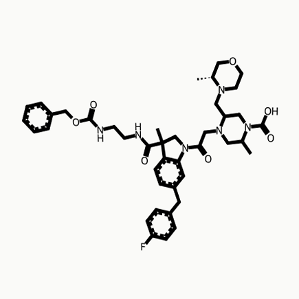 CC1CN(CC(=O)N2CC(C)(C(=O)NCCNC(=O)OCc3ccccc3)c3ccc(Cc4ccc(F)cc4)cc32)C(CN2CCOC[C@H]2C)CN1C(=O)O